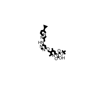 Cc1cc(N(C(=O)O)C(=O)OC(C)(C)C)nc(C)c1COc1cc(NCc2cn3cc(C4CC4)ccc3n2)ncn1